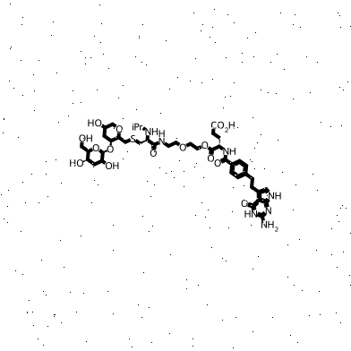 CC(C)N[C@H](CSCC1OCC(O)C[C@@H]1O[C@@H]1OC(CO)[C@@H](O)CC1O)C(=O)NCCOCCOC(=O)[C@H](CCC(=O)O)NC(=O)c1ccc(CCc2c[nH]c3nc(N)[nH]c(=O)c23)cc1